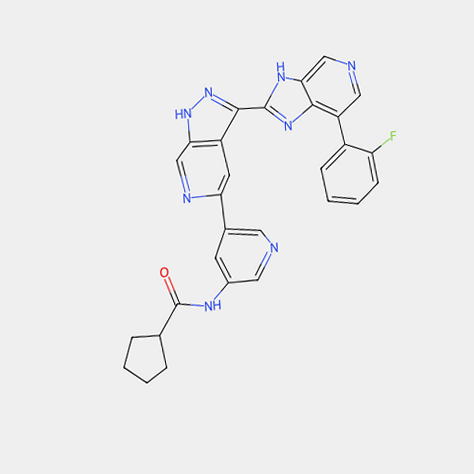 O=C(Nc1cncc(-c2cc3c(-c4nc5c(-c6ccccc6F)cncc5[nH]4)n[nH]c3cn2)c1)C1CCCC1